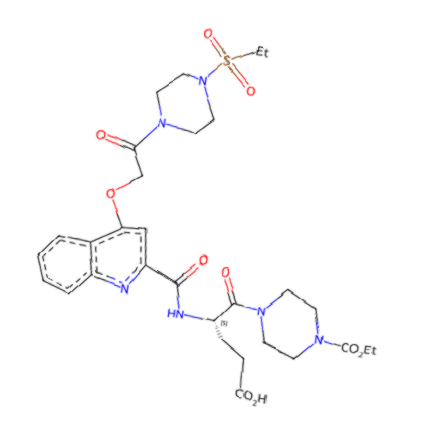 CCOC(=O)N1CCN(C(=O)[C@H](CCC(=O)O)NC(=O)c2cc(OCC(=O)N3CCN(S(=O)(=O)CC)CC3)c3ccccc3n2)CC1